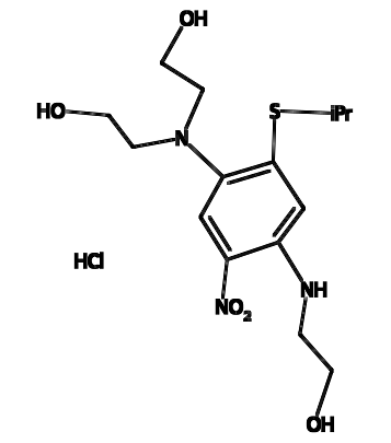 CC(C)Sc1cc(NCCO)c([N+](=O)[O-])cc1N(CCO)CCO.Cl